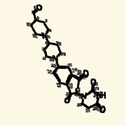 O=CC1CCN(C2CCN(c3ccc4c(c3)C(=O)N(N3CCC(=O)NC3=O)C4=O)CC2)CC1